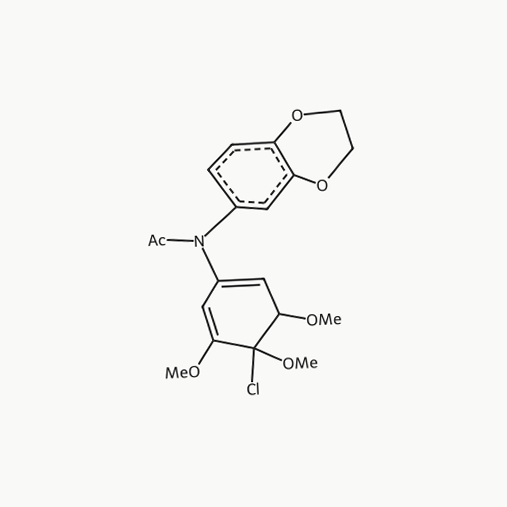 COC1=CC(N(C(C)=O)c2ccc3c(c2)OCCO3)=CC(OC)C1(Cl)OC